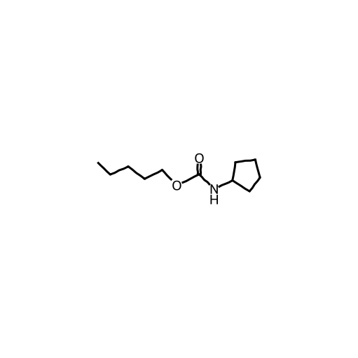 CCCCCOC(=O)NC1CCCC1